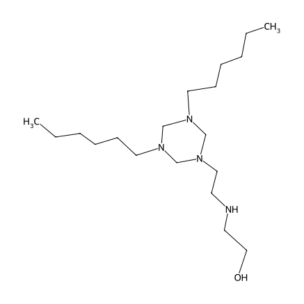 CCCCCCN1CN(CCCCCC)CN(CCNCCO)C1